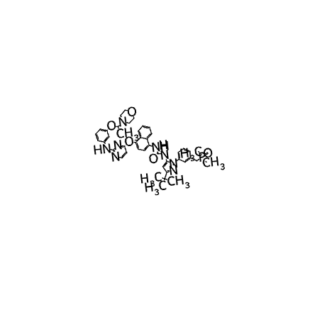 CC(Oc1cccc(Nc2nccc(Oc3ccc(NC(=O)Nc4cc(C(C)(C)C)nn4-c4cccc(CP(C)(C)=O)c4)c4ccccc34)n2)c1)N1CCOCC1